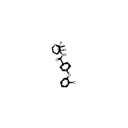 C[C@H]1[C@H](NC(=O)c2ccc(Oc3ccccc3Cl)cc2)C2CCN1CC2